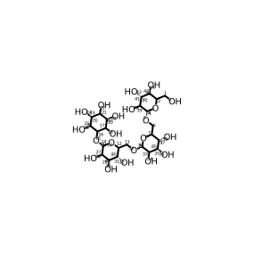 OCC1O[C@H](OCC2O[C@H](OCC3O[C@H](OC4C(O)[C@H](O)C(O)[C@H](O)[C@@H]4O)C(O)[C@H](O)[C@H]3O)C(O)[C@H](O)[C@H]2O)C(O)[C@H](O)[C@H]1O